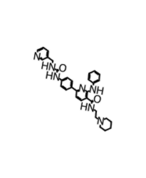 O=C(NCc1cccnc1)Nc1ccc(-c2ccc(C(=O)NCCN3CCCCC3)c(Nc3ccccc3)n2)cc1